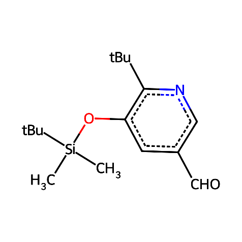 CC(C)(C)c1ncc(C=O)cc1O[Si](C)(C)C(C)(C)C